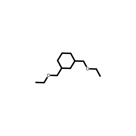 CCOCC1CCCC(COCC)C1